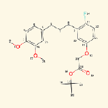 COc1ccc(CC[CH]c2cc(OCC(=O)OC(C)(C)C)ccc2F)cc1OC